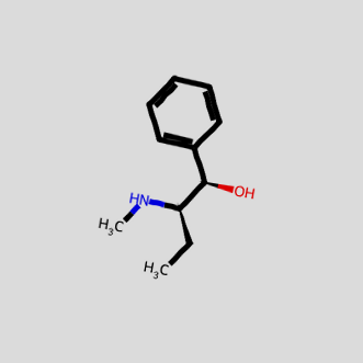 CC[C@@H](NC)[C@H](O)c1ccccc1